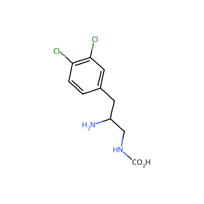 NC(CNC(=O)O)Cc1ccc(Cl)c(Cl)c1